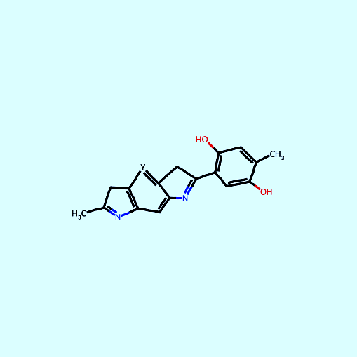 CC1=NC2=[C](C1)[Y]=[C]1CC(c3cc(O)c(C)cc3O)=NC1=C2